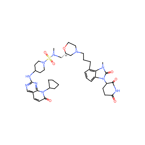 CN(C[C@H]1CN(CCCc2cccc3c2n(C)c(=O)n3C2CCC(=O)NC2=O)CCO1)S(=O)(=O)N1CCC(Nc2ncc3ccc(=O)n(C4CCCC4)c3n2)CC1